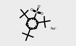 CC(C)(C)c1cc(C(C)(C)C)c(S(=O)(=O)[O-])c(C(C)(C)C)c1.[Na+]